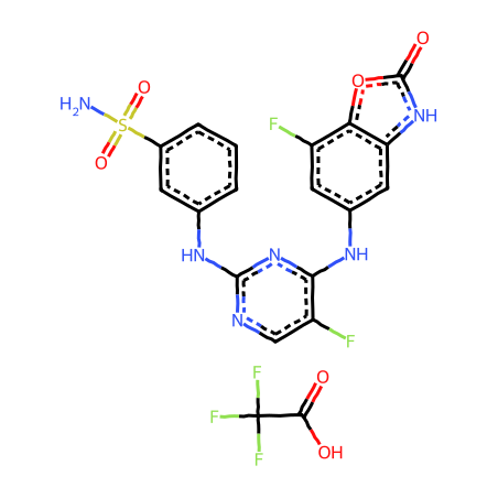 NS(=O)(=O)c1cccc(Nc2ncc(F)c(Nc3cc(F)c4oc(=O)[nH]c4c3)n2)c1.O=C(O)C(F)(F)F